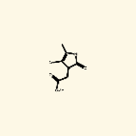 COC(=O)CC1C(=O)NC(C)=C1C(C)=O